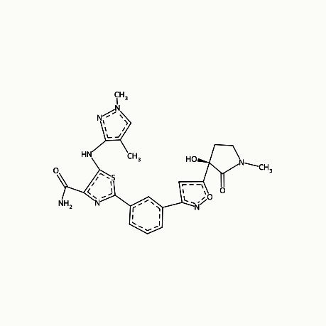 Cc1cn(C)nc1Nc1sc(-c2cccc(-c3cc([C@]4(O)CCN(C)C4=O)on3)c2)nc1C(N)=O